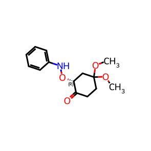 COC1(OC)CCC(=O)[C@H](ONc2ccccc2)C1